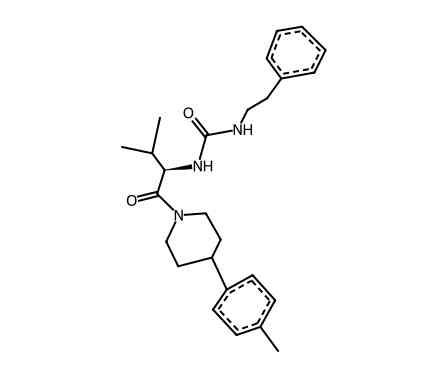 Cc1ccc(C2CCN(C(=O)[C@H](NC(=O)NCCc3ccccc3)C(C)C)CC2)cc1